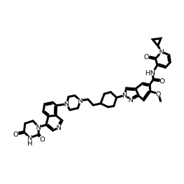 COc1cc2nn(C3CCC(CCN4CCN(c5cccc6c(N7CCC(=O)NC7=O)cncc56)CC4)CC3)cc2cc1C(=O)Nc1cccn(C2CC2)c1=O